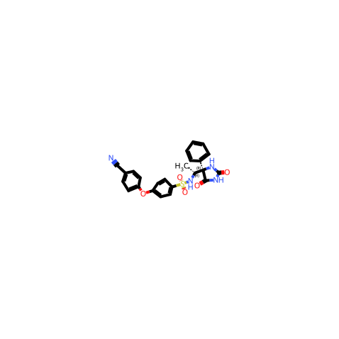 C[C@@H](NS(=O)(=O)c1ccc(Oc2ccc(C#N)cc2)cc1)[C@@]1(c2ccccc2)NC(=O)NC1=O